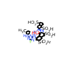 Cc1cccc(Nc2nc(F)nc(Nc3cc(S(=O)(=O)O)cc4cc(S(=O)(=O)O)c(N=Nc5ccc6c(S(=O)(=O)O)cccc6c5S(=O)(=O)O)c(O)c34)n2)c1